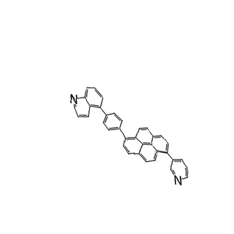 c1cncc(-c2ccc3ccc4c(-c5ccc(-c6cccc7ncccc67)cc5)ccc5ccc2c3c54)c1